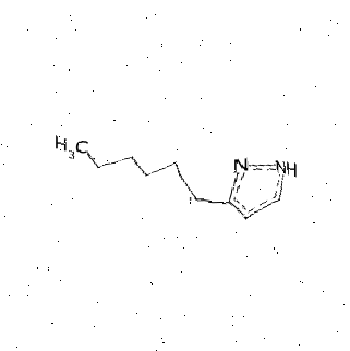 CCCCC[CH]c1cc[nH]n1